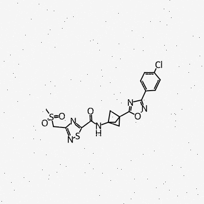 CS(=O)(=O)Cc1nsc(C(=O)NC23CC(c4nc(-c5ccc(Cl)cc5)no4)(C2)C3)n1